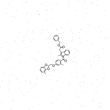 Cc1cc(OCC2Oc3cccc(C)c3O2)ccc1C(=O)n1c(C)c(CC(=O)OCc2ccccc2)c2ccccc21